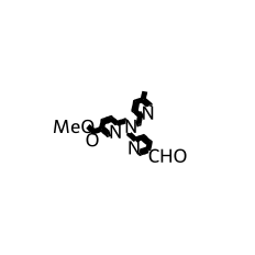 COC(=O)c1ccc(CN(Cc2ccc(C)cn2)Cc2ccc(C=O)cn2)nc1